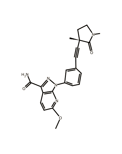 COc1ccc2c(C(N)=O)nn(-c3cccc(C#C[C@]4(C)CCN(C)C4=O)c3)c2n1